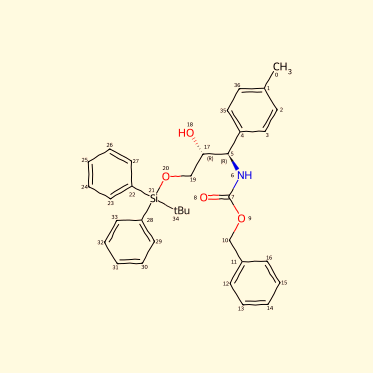 Cc1ccc([C@@H](NC(=O)OCc2ccccc2)[C@@H](O)CO[Si](c2ccccc2)(c2ccccc2)C(C)(C)C)cc1